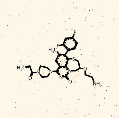 C=CC(=O)N1CCN(c2nc(=O)n3c4c(c(-c5ccc(F)cc5F)c(C)cc24)SCC(OCCN)C3)CC1